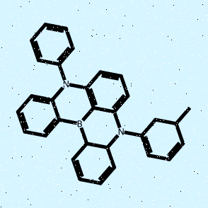 CC1C=CC=C(N2c3cccc4c3B(c3ccccc3N4c3ccccc3)C3C=CC=CC32)C1